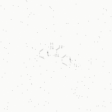 N=C(Nc1ccc([N+](=O)[O-])cc1)Nc1ccc([N+](=O)[O-])cc1